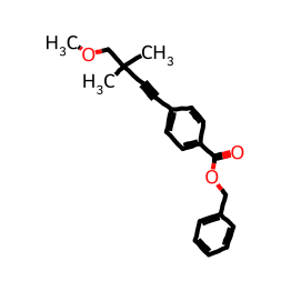 COCC(C)(C)C#Cc1ccc(C(=O)OCc2ccccc2)cc1